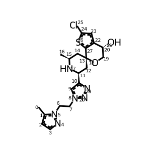 Cc1ccnn1CCn1cc([C@@H]2C[C@]3(C[C@H](C)N2)OC[C@@H](O)c2cc(Cl)sc23)nn1